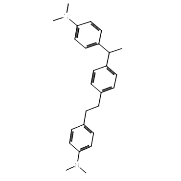 CC(c1ccc(CCc2ccc(N(C)C)cc2)cc1)c1ccc(N(C)C)cc1